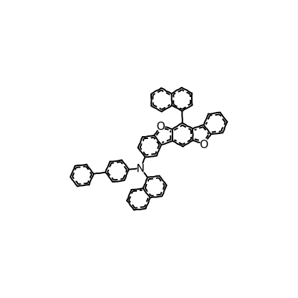 c1ccc(-c2ccc(N(c3ccc4oc5c(-c6cccc7ccccc67)c6c(cc5c4c3)oc3ccccc36)c3cccc4ccccc34)cc2)cc1